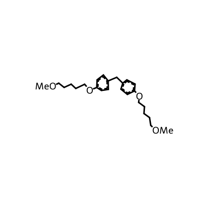 COCCCCCOc1ccc(Cc2ccc(OCCCCCOC)cc2)cc1